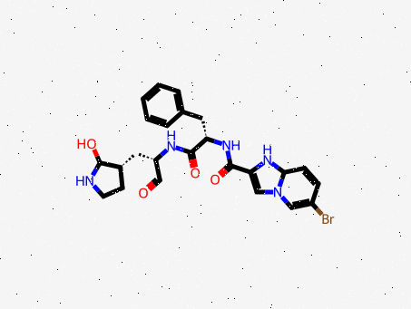 O=C[C@H](C[C@@H]1CCNC1O)NC(=O)[C@H](Cc1ccccc1)NC(=O)C1=CN2C=C(Br)C=CC2N1